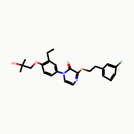 CCc1cc(-n2ccnc(SCCc3cccc(F)c3)c2=O)ccc1OCC(C)(C)O